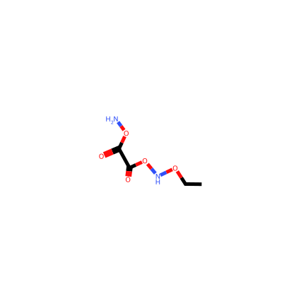 CCONOC(=O)C(=O)ON